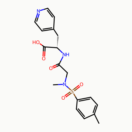 Cc1ccc(S(=O)(=O)N(C)CC(=O)N[C@@H](Cc2ccncc2)C(=O)O)cc1